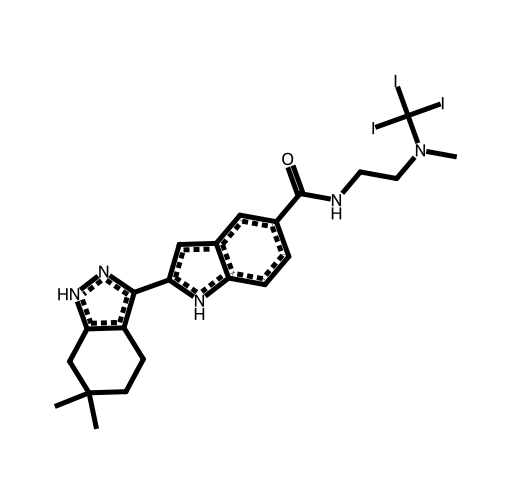 CN(CCNC(=O)c1ccc2[nH]c(-c3n[nH]c4c3CCC(C)(C)C4)cc2c1)C(I)(I)I